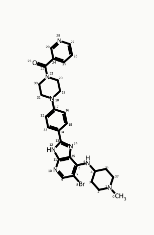 CN1CCC(Nc2c(Br)cnc3[nH]c(-c4ccc(N5CCN(C(=O)c6cccnc6)CC5)cc4)nc23)CC1